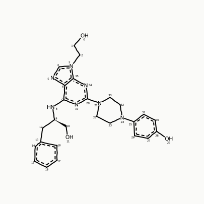 OCCn1cnc2c(N[C@@H](CO)Cc3ccccc3)nc(N3CCN(c4ccc(O)cc4)CC3)nc21